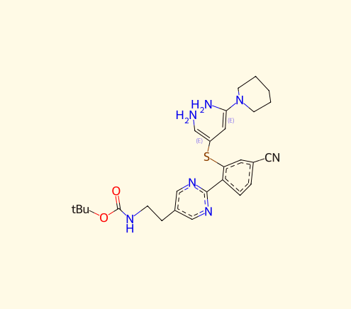 CC(C)(C)OC(=O)NCCc1cnc(-c2ccc(C#N)cc2SC(=C/N)/C=C(\N)N2CCCCC2)nc1